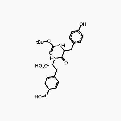 CC(C)(C)OC(=O)NC(Cc1ccc(O)cc1)C(=O)N[C@@H](CC1=CCC(OO)C=C1)C(=O)O